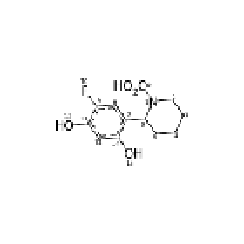 O=C(O)N1CCCCC1c1cc(F)c(O)cc1O